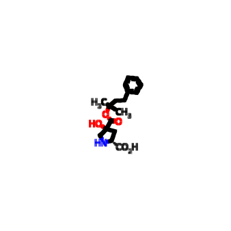 CC(C)(CCc1ccccc1)OC(=O)C1(O)CN[C@@H](C(=O)O)C1